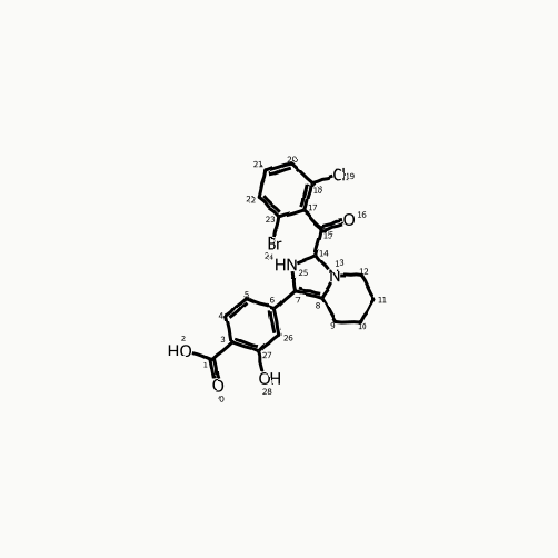 O=C(O)c1ccc(C2=C3CCCCN3C(C(=O)c3c(Cl)cccc3Br)N2)cc1O